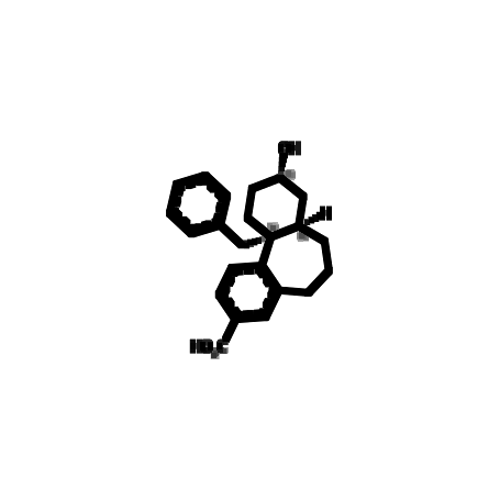 O=C(O)c1ccc2c(c1)CCC[C@@H]1C[C@@H](O)CC[C@]21Cc1ccccc1